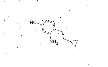 N#Cc1cnc(CCC2CC2)c(N)c1